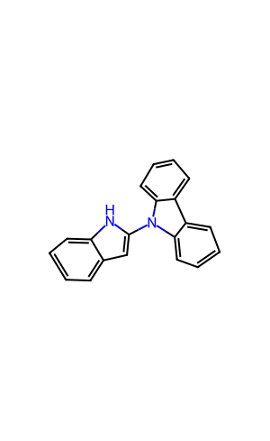 c1ccc2[nH]c(-n3c4ccccc4c4ccccc43)cc2c1